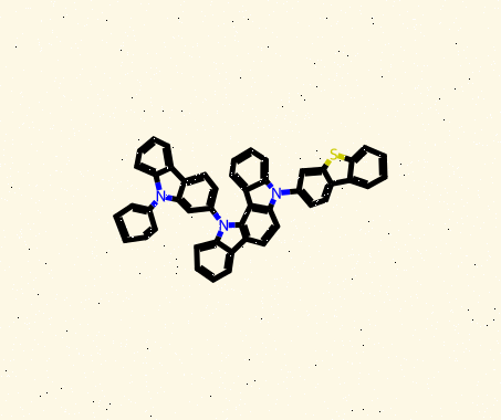 c1ccc(-n2c3ccccc3c3ccc(-n4c5ccccc5c5ccc6c(c7ccccc7n6-c6ccc7c(c6)sc6ccccc67)c54)cc32)cc1